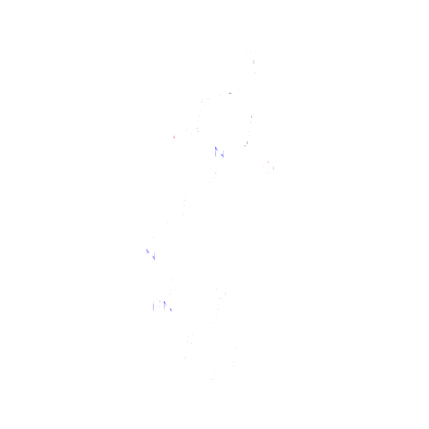 CN(CCCCN1C(=O)CC2(CCCC2)CC1=O)C1COc2ccccc2N1